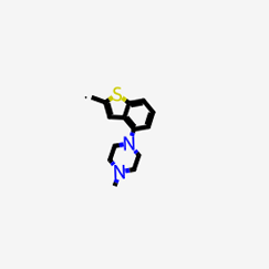 [CH2]c1cc2c(N3CCN(C)CC3)cccc2s1